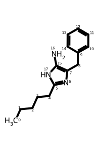 CCCCCc1nc(Cc2ccccc2)c(N)[nH]1